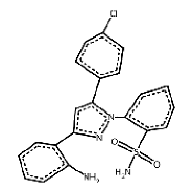 Nc1ccccc1-c1cc(-c2ccc(Cl)cc2)n(-c2ccccc2S(N)(=O)=O)n1